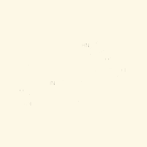 O=C(O)Cc1ccccc1NCc1cccc(-c2ccc(Cl)c(OC3CNC3)c2)c1